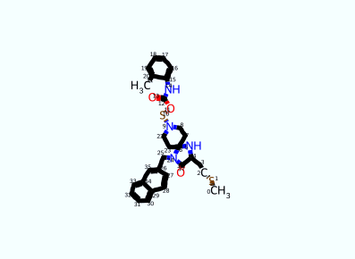 CSCCC1NC2(CCN(SOC(=O)Nc3ccccc3C)CC2)N(Cc2ccc3ccccc3c2)C1=O